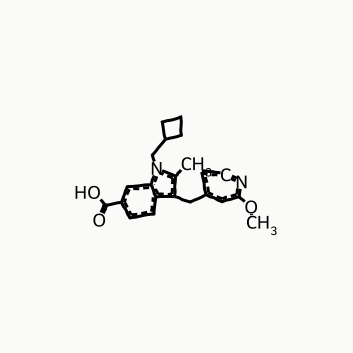 COc1cc(Cc2c(C)n(CC3CCC3)c3cc(C(=O)O)ccc23)ccn1